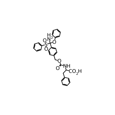 NC(Oc1ccccc1)(c1ccc(COC(=O)NC(Cc2ccccc2)C(=O)O)cc1)S(=O)(=O)c1ccccc1